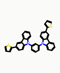 c1cc(-n2c3ccccc3c3cc(-c4cccs4)ccc32)cc(-n2c3ccccc3c3cc(-c4cccs4)ccc32)c1